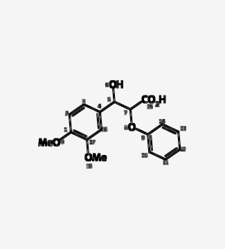 COc1ccc(C(O)C(Oc2ccccc2)C(=O)O)cc1OC